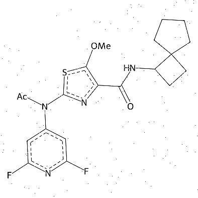 COc1sc(N(C(C)=O)c2cc(F)nc(F)c2)nc1C(=O)NC1CCC12CCCC2